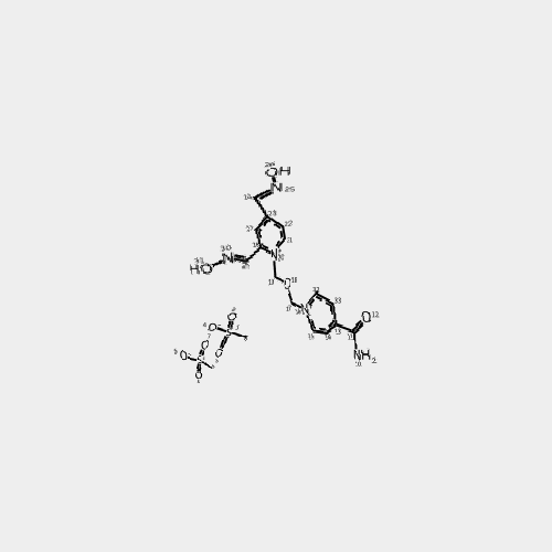 CS(=O)(=O)[O-].CS(=O)(=O)[O-].NC(=O)c1cc[n+](COC[n+]2ccc(C=NO)cc2C=NO)cc1